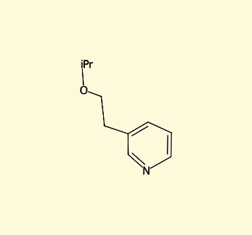 CC(C)OCCc1cccnc1